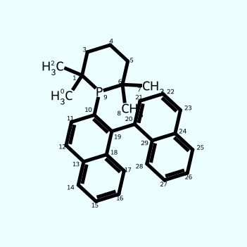 CC1(C)CCCC(C)(C)P1c1ccc2ccccc2c1-c1cccc2ccccc12